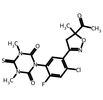 CC(=O)C1(C)CC(c2cc(-n3c(=O)n(C)c(=S)n(C)c3=O)c(F)cc2Cl)=NO1